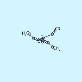 C=CCOCCCCCCOc1ccc2cc(C(=O)Oc3ccc(OC(=O)c4ccc5cc(OCCCCCCOCC=C)ccc5c4)c(C(=O)OCCCCCCCCCCCOc4ccc(-c5ccc(C#N)cc5)cc4)c3)ccc2c1